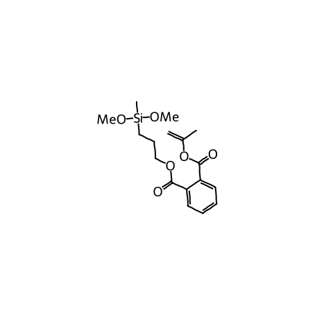 C=C(C)OC(=O)c1ccccc1C(=O)OCCC[Si](C)(OC)OC